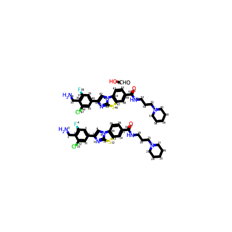 NCc1c(F)cc(-c2cn3c(n2)sc2cc(C(=O)NCCCN4CCCCC4)ccc23)cc1Cl.NCc1c(F)cc(-c2cn3c(n2)sc2cc(C(=O)NCCCN4CCCCC4)ccc23)cc1Cl.O=CO